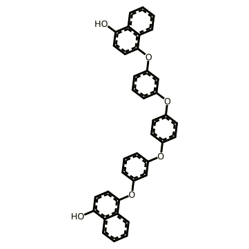 Oc1ccc(Oc2cccc(Oc3ccc(Oc4cccc(Oc5ccc(O)c6ccccc56)c4)cc3)c2)c2ccccc12